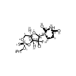 CC(C)OP1(=S)OC[C@H]2O[C@@H](n3ccc(=O)[nH]c3=O)[C@](F)(Cl)[C@@H]2O1